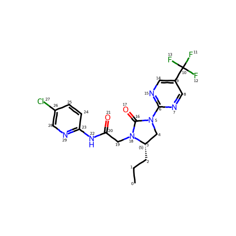 CCC[C@H]1CN(c2ncc(C(F)(F)F)cn2)C(=O)N1CC(=O)Nc1ccc(Cl)cn1